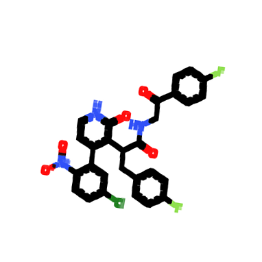 O=C(CNC(=O)C(Cc1ccc(F)cc1)c1c(-c2cc(Cl)ccc2[N+](=O)[O-])cc[nH]c1=O)c1ccc(F)cc1